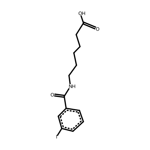 O=C(O)CCCCCNC(=O)c1cccc(I)c1